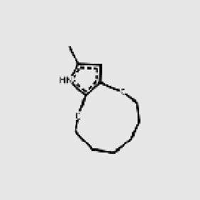 Cc1cc2c([nH]1)CCCCCCCC2